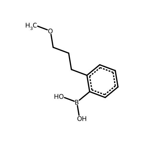 COCCCc1ccccc1B(O)O